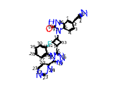 N#Cc1ccc2c(c1)[nH]c(=O)n2[C@H]1C[C@H](c2nnc(-c3ccncn3)n2-c2ccccc2F)C1